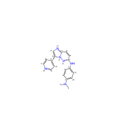 CN(C)c1ccc(Nc2ccc3ncc(-c4ccncc4)n3n2)cc1